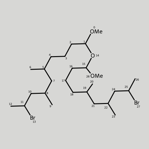 COC(CCCC(C)CC(C)CC(C)Br)OC(CCCC(C)CC(C)CC(C)Br)OC